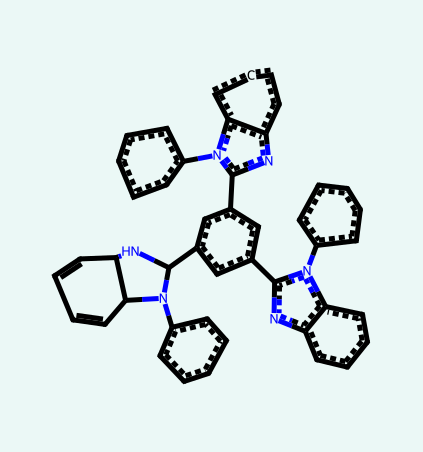 C1=CC2NC(c3cc(-c4nc5ccccc5n4-c4ccccc4)cc(-c4nc5ccccc5n4-c4ccccc4)c3)N(c3ccccc3)C2C=C1